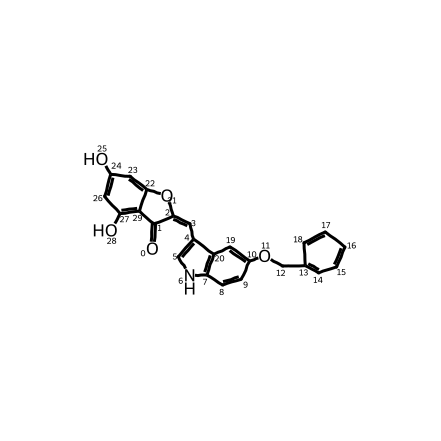 O=C1/C(=C\c2c[nH]c3ccc(OCc4ccccc4)cc23)Oc2cc(O)cc(O)c21